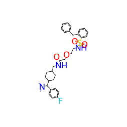 CN(C)C(c1ccc(F)cc1)C1CCC(CNC(=O)COCCNS(=O)(=O)c2ccccc2Cc2ccccc2)CC1